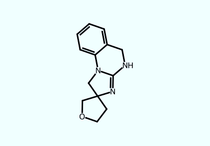 c1ccc2c(c1)CNC1=NC3(CCOC3)CN12